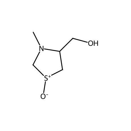 CN1C[S+]([O-])CC1CO